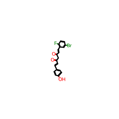 O=C(/C=C/c1ccc(O)cc1)CC(=O)/C=C/c1cc(Br)ccc1F